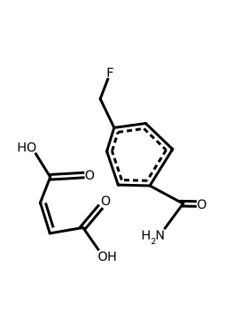 NC(=O)c1ccc(CF)cc1.O=C(O)/C=C\C(=O)O